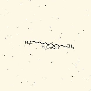 CCCCCCCCC.CCCCCCCCCCCCCC